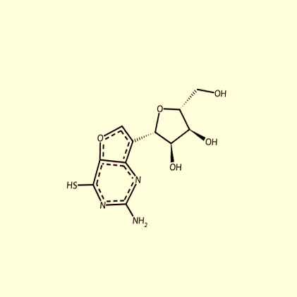 Nc1nc(S)c2occ([C@@H]3O[C@H](CO)[C@@H](O)[C@H]3O)c2n1